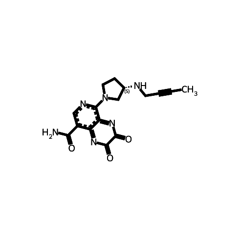 CC#CCN[C@H]1CCN(c2ncc(C(N)=O)c3c2=NC(=O)C(=O)N=3)C1